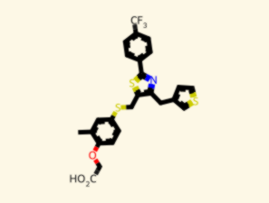 Cc1cc(SCc2sc(-c3ccc(C(F)(F)F)cc3)nc2Cc2ccsc2)ccc1OCC(=O)O